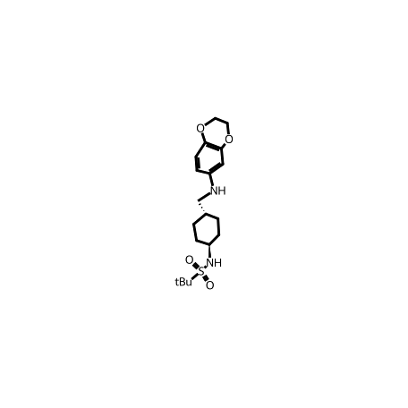 CC(C)(C)S(=O)(=O)N[C@H]1CC[C@H](CNc2ccc3c(c2)OCCO3)CC1